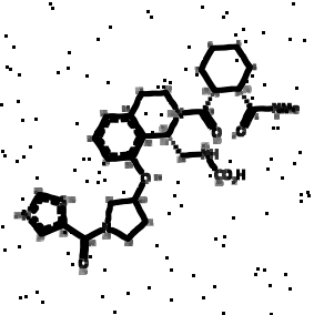 CNC(=O)[C@H]1CCCC[C@H]1C(=O)N1CCc2cccc(OC3CCN(C(=O)c4cncs4)C3)c2[C@H]1CNC(=O)O